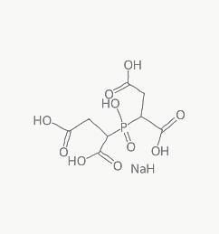 O=C(O)CC(C(=O)O)P(=O)(O)C(CC(=O)O)C(=O)O.[NaH]